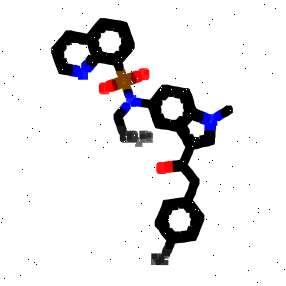 CCOC(=O)CN(c1ccc2c(c1)c(C(=O)Cc1ccc(C#N)cc1)cn2C)S(=O)(=O)c1cccc2cccnc12